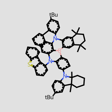 Cc1cc2c3c(c1)N(c1cccc4sc5ccccc5c14)c1cc(N4c5ccc(C(C)(C)C)cc5C5(C)CCCCC45C)ccc1B3c1cc3c(cc1N2c1ccc(C(C)(C)C)cc1-c1ccccc1)C(C)(C)CCC3(C)C